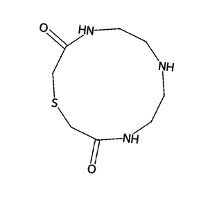 O=C1CSCC(=O)NCCNCCN1